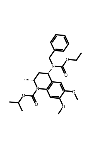 CCOC(=O)N(Cc1ccccc1)[C@H]1C[C@@H](C)N(C(=O)OC(C)C)c2cc(OC)c(OC)cc21